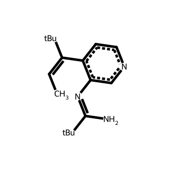 C/C=C(\c1ccncc1/N=C(\N)C(C)(C)C)C(C)(C)C